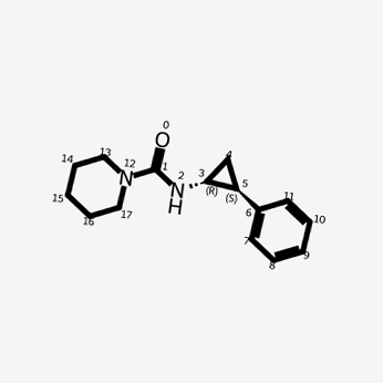 O=C(N[C@@H]1C[C@H]1c1ccccc1)N1CCCCC1